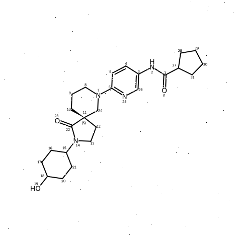 O=C(Nc1ccc(N2CCC[C@]3(CCN(C4CCC(O)CC4)C3=O)C2)nc1)C1CCCC1